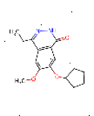 CCc1n[nH]c(=O)c2cc(OC3CCCC3)c(OC)cc12